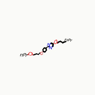 CCC/C=C\CCOc1cnc(-c2ccc(OCCCCOCCC)cc2)nc1